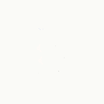 CC(=O)OC1C(C)OC(OCCN)C(OC(C)=O)C1OC(C)=O